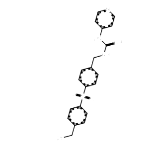 CC(C)Cc1ccc(S(=O)(=O)c2ccc(CNC(=N)Nc3ccncc3)cc2)cc1